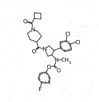 CN(C(=O)Oc1ccc(F)cc1)C1CN(C(=O)C2CCN(C(=O)C3CCC3)CC2)CC1c1ccc(Cl)c(Cl)c1